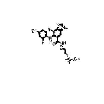 Cn1cnc2c(F)c(Nc3ccc(Br)cc3F)c(C(=O)NOCCO[Si](C)(C)C(C)(C)C)cc21